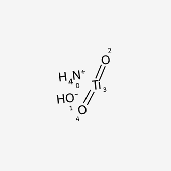 [NH4+].[OH-].[O]=[Ti]=[O]